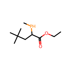 CCOC(=O)C(CC(C)(C)C)PC